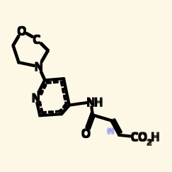 O=C(O)/C=C/C(=O)Nc1ccnc(N2CCOCC2)c1